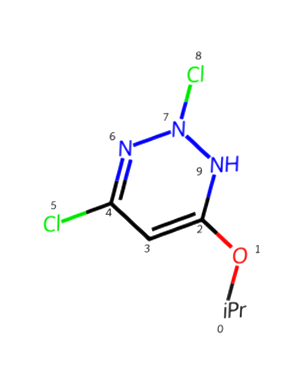 CC(C)OC1=CC(Cl)=NN(Cl)N1